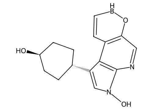 On1cc([C@H]2CC[C@H](O)CC2)c2c3c(cnc21)OBC=C3